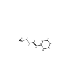 CC(=O)CCC=CC1CCCCC1